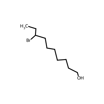 CCC(Br)CCCCCCCO